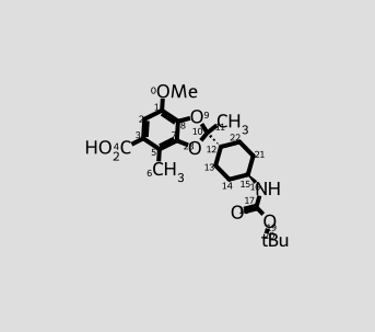 COc1cc(C(=O)O)c(C)c2c1OC(C)([C@H]1CC[C@H](NC(=O)OC(C)(C)C)CC1)O2